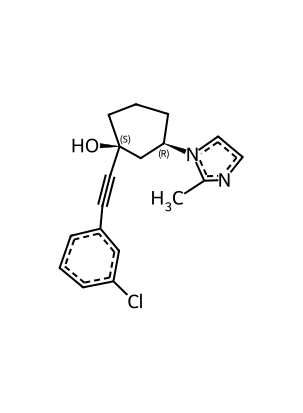 Cc1nccn1[C@@H]1CCC[C@@](O)(C#Cc2cccc(Cl)c2)C1